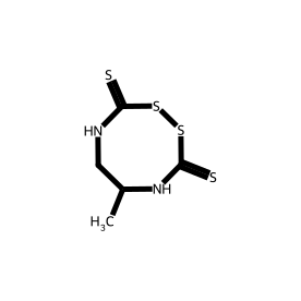 CC1CNC(=S)SSC(=S)N1